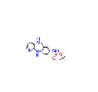 CC(C)(C)OC(=O)Nc1ccc2c(c1)CNc1cccnc1N2